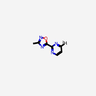 [2H]c1ccnc(-c2nc(C)no2)n1